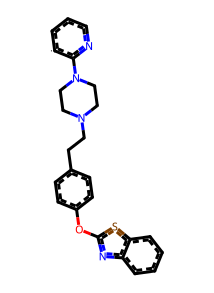 [c]1cccnc1N1CCN(CCc2ccc(Oc3nc4ccccc4s3)cc2)CC1